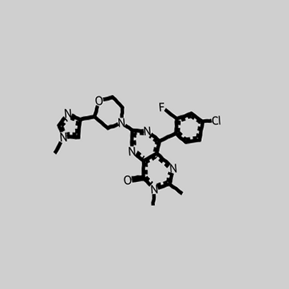 Cc1nc2c(-c3ccc(Cl)cc3F)nc(N3CCOC(c4cn(C)cn4)C3)nc2c(=O)n1C